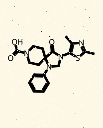 Cc1nc(C)c(N2CN(c3ccccc3)C3(CCN(C(=O)O)CC3)C2=O)s1